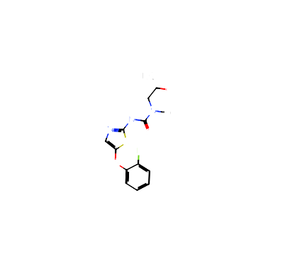 CCN(C[C@H](C)O)C(=O)Nc1ncc(Oc2ccccc2F)s1